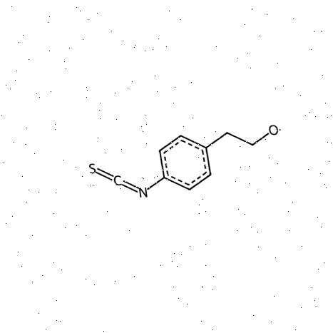 [O]CCc1ccc(N=C=S)cc1